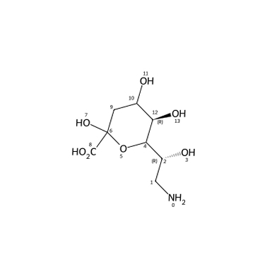 NC[C@@H](O)C1OC(O)(C(=O)O)CC(O)[C@H]1O